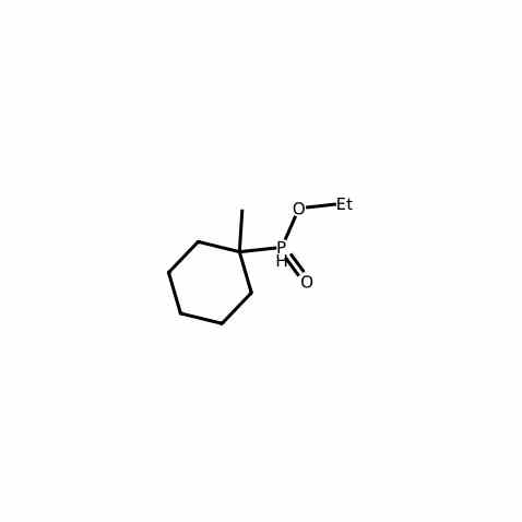 CCO[PH](=O)C1(C)CCCCC1